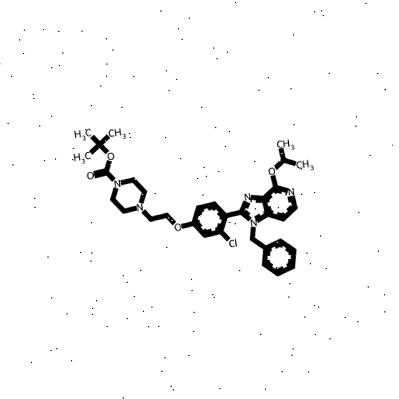 CC(C)Oc1nccc2c1nc(-c1ccc(OCCN3CCN(C(=O)OC(C)(C)C)CC3)cc1Cl)n2Cc1ccccc1